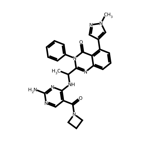 CC(Nc1nc(N)ncc1C(=O)N1CCC1)c1nc2cccc(-c3cnn(C)c3)c2c(=O)n1-c1ccccc1